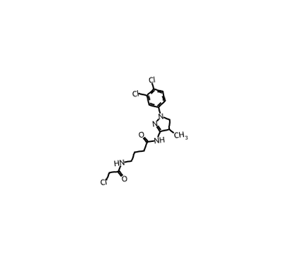 CC1CN(c2ccc(Cl)c(Cl)c2)N=C1NC(=O)CCCNC(=O)CCl